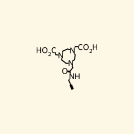 C#CCNC(=O)CN1CCN(CC(=O)O)CCN(CC(=O)O)CC1